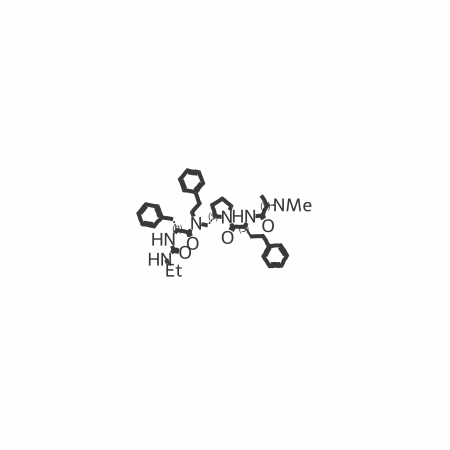 CCNC(=O)N[C@H](Cc1ccccc1)C(=O)N(CCc1ccccc1)C[C@@H]1CCCN1C(=O)[C@H](CCc1ccccc1)NC(=O)[C@H](C)NC